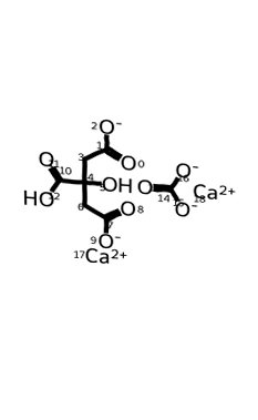 O=C([O-])CC(O)(CC(=O)[O-])C(=O)O.O=C([O-])[O-].[Ca+2].[Ca+2]